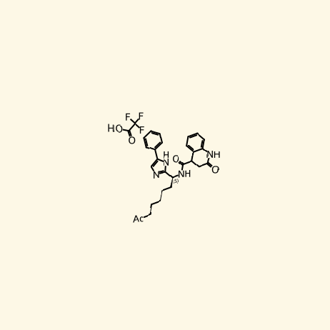 CC(=O)CCCCC[C@H](NC(=O)C1CC(=O)Nc2ccccc21)c1ncc(-c2ccccc2)[nH]1.O=C(O)C(F)(F)F